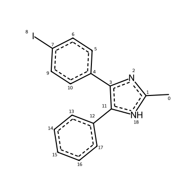 Cc1nc(-c2ccc(I)cc2)c(-c2ccccc2)[nH]1